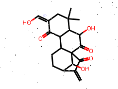 C=C1C(=O)C23C(=O)C(O)C4C(C(=O)/C(=C\O)CC4(C)C)C2CCC1C3O